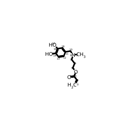 C=CC(=O)OCCCN(C)Cc1ccc(O)c(O)c1